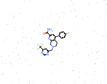 NC(=O)c1cc(-c2ccc(F)cc2)c2c(n1)CN(Cc1cc(C(F)(F)F)ncn1)CC2